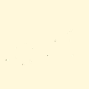 CC(C)(C)c1ccc(C=Cc2ccc(O)c(O)c2)cc1